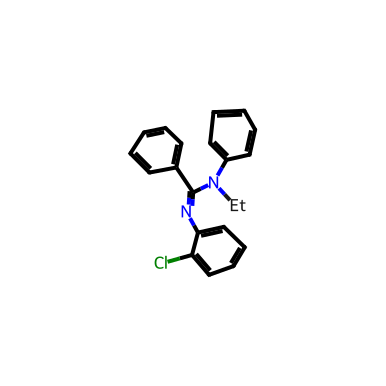 CCN(C(=Nc1ccccc1Cl)c1ccccc1)c1ccccc1